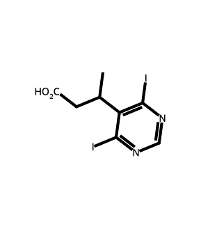 CC(CC(=O)O)c1c(I)ncnc1I